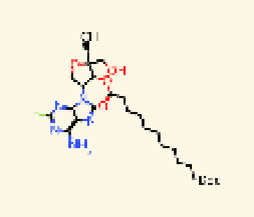 C#C[C@]1(CO)OCC(n2cnc3c(N)nc(F)nc32)[C@@H]1OC(=O)CCCCCCCCCCCCCCCCCCC